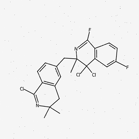 CC1(C)Cc2cc(CC3(C)N=C(F)c4ccc(F)cc4C3(Cl)Cl)ccc2C(Cl)=N1